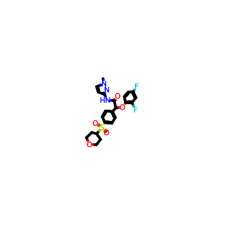 Cn1ccc(NC(=O)C(Oc2ccc(F)cc2F)c2ccc(S(=O)(=O)C3CCOCC3)cc2)n1